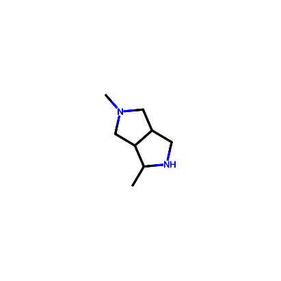 CC1NCC2CN(C)CC21